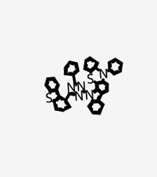 c1ccc(-c2nc(-c3cccc4sc5ccccc5c34)nc(-n3c4ccccc4c4ccc5c(c43)Sc3ccccc3N5c3ccccc3)n2)cc1